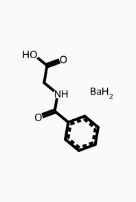 O=C(O)CNC(=O)c1ccccc1.[BaH2]